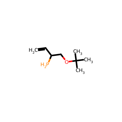 C=CC(P)COC(C)(C)C